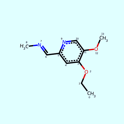 CCOc1cc(/C=N/C)ncc1OC